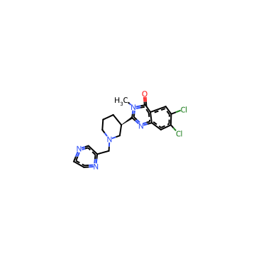 Cn1c([C@@H]2CCCN(Cc3cnccn3)C2)nc2cc(Cl)c(Cl)cc2c1=O